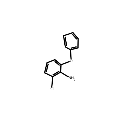 Nc1c(Cl)cccc1Oc1ccccc1